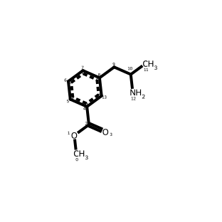 COC(=O)c1cccc(CC(C)N)c1